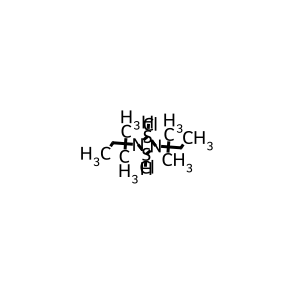 CCC(C)(C)N1[SH](Cl)N(C(C)(C)CC)[SH]1Cl